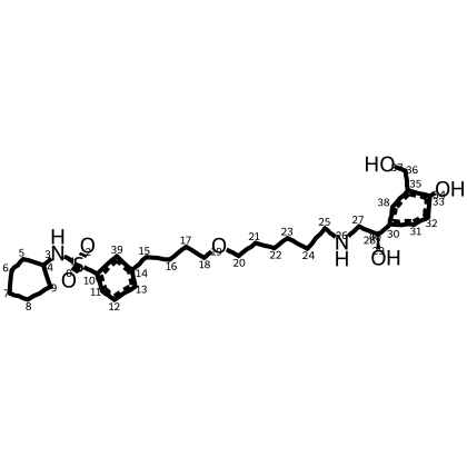 O=S(=O)(NC1CCCCC1)c1cccc(CCCCOCCCCCCNC[C@H](O)c2ccc(O)c(CO)c2)c1